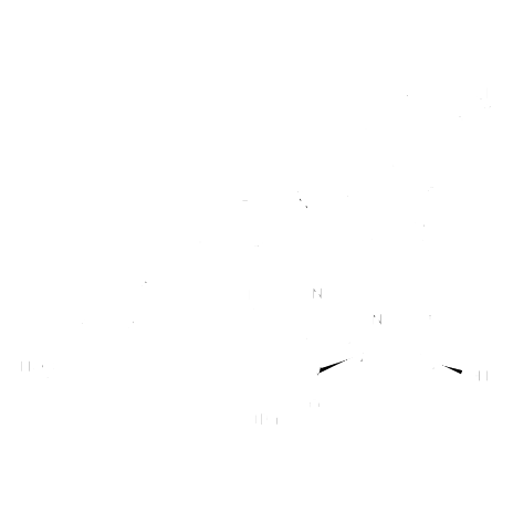 CC(C)(C)OC(=O)[C@@H]1C[C@H](O)CN1c1nc(C(F)(F)CCCOCC(=O)O)nc2c1oc1cc(Cl)ccc12